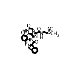 C[S@+]([O-])CCNC(=O)c1nc(NC(=O)c2nsc3ccccc23)c2n1CC(=O)N[C@@H]2c1cc(F)ccc1Cl